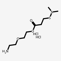 CN(C)SCCC(=O)OCCOCCN.Cl.Cl